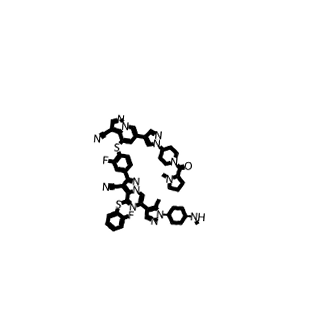 CN[C@H]1CC[C@@H](n2ncc(-c3cn4nc(-c5ccc(Sc6cc(-c7cnn(C8CCN(C(=O)C9CCCN9C)CC8)c7)cn7ncc(C#N)c67)c(F)c5)c(C#N)c4c(Sc4ccccc4F)n3)c2C)CC1